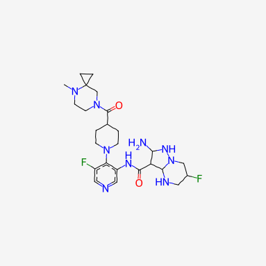 CN1CCN(C(=O)C2CCN(c3c(F)cncc3NC(=O)C3C(N)NN4CC(F)CNC34)CC2)CC12CC2